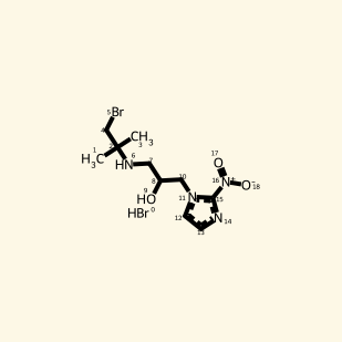 Br.CC(C)(CBr)NCC(O)Cn1ccnc1[N+](=O)[O-]